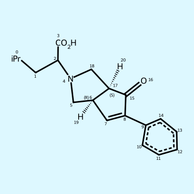 CC(C)CC(C(=O)O)N1C[C@@H]2C=C(c3ccccc3)C(=O)[C@@H]2C1